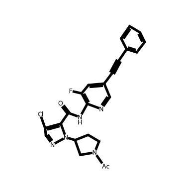 CC(=O)N1CCC(n2ncc(Cl)c2C(=O)Nc2ncc(C#Cc3ccccc3)cc2F)C1